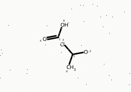 CC([O])Cl.O=CO